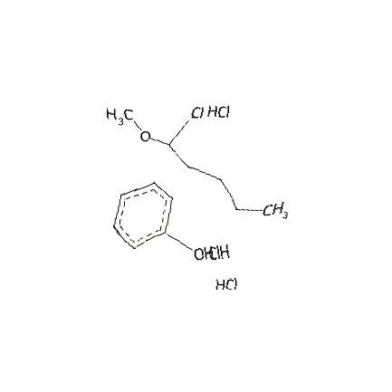 CCCCC(Cl)OC.Cl.Cl.Cl.Oc1ccccc1